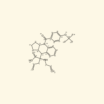 C=CCNC(CC=O)(C(=O)O)C1c2ccccc2N(C(=O)c2ccc(OC(F)(F)F)cc2)C2CCCC21